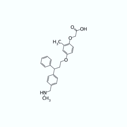 CNCc1ccc(C(CCOc2ccc(OCC(=O)O)c(C)c2)c2ccccc2)cc1